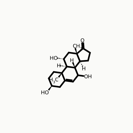 C[C@]12CC[C@H](O)CC1=CC(O)[C@@H]1[C@@H]2[C@H](O)C[C@]2(C)C(=O)CC[C@@H]12